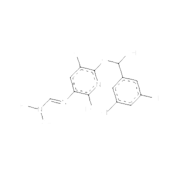 CCN(C)/C=N/c1cc(C)c(OC(C)c2cc(Cl)cc(Cl)c2)nc1C